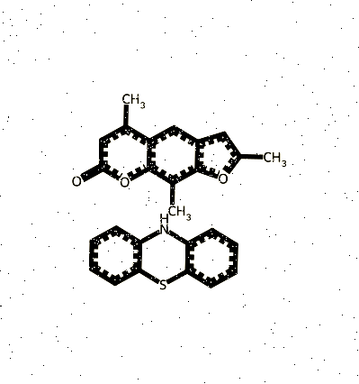 Cc1cc2cc3c(C)cc(=O)oc3c(C)c2o1.c1ccc2c(c1)Nc1ccccc1S2